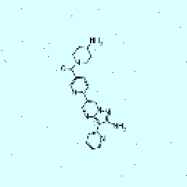 Nc1nn2cc(-c3ccc(C(=O)N4CCC(N)CC4)cn3)cnc2c1-c1ccccn1